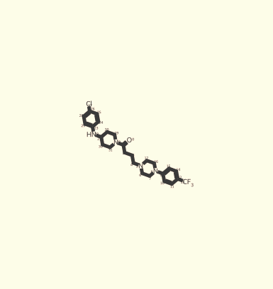 O=C(CCCN1CCN(c2ccc(C(F)(F)F)cc2)CC1)N1CCC(Nc2ccc(Cl)cc2)CC1